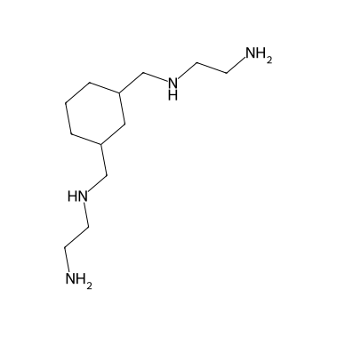 NCCNCC1CCCC(CNCCN)C1